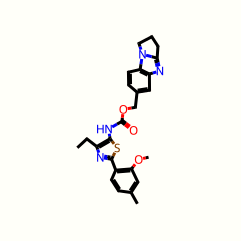 CCc1nc(-c2ccc(C)cc2OC)sc1NC(=O)OCc1ccc2c(c1)nc1n2CCC1